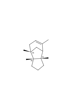 CC1=CC[C@]2(C)CC1[C@]1(C)CCC[C@]21C